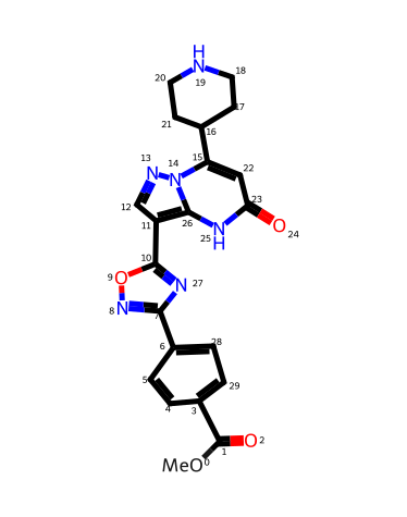 COC(=O)c1ccc(-c2noc(-c3cnn4c(C5CCNCC5)cc(=O)[nH]c34)n2)cc1